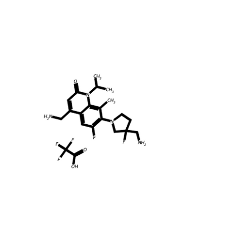 Cc1c(N2CCC(F)(CN)C2)c(F)cc2c(CN)cc(=O)n(C(C)C)c12.O=C(O)C(F)(F)F